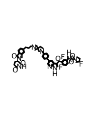 O=C1CCC(N2Cc3cc(CCCN4CC5(CCN(c6ccc(-c7cnc8[nH]cc(C(=O)c9c(F)ccc(NS(=O)(=O)N%10CC[C@@H](F)C%10)c9F)c8c7)cc6)C5)C4)ccc3C2=O)C(=O)N1